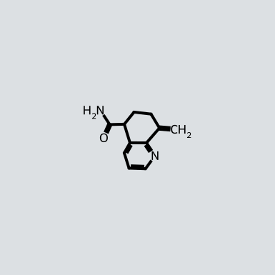 C=C1CCC(C(N)=O)c2cccnc21